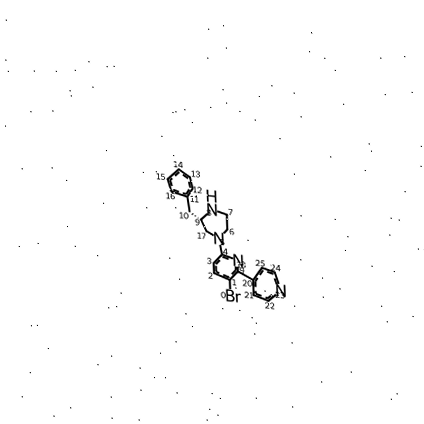 Brc1ccc(N2CCN[C@@H](Cc3ccccc3)C2)nc1-c1ccncc1